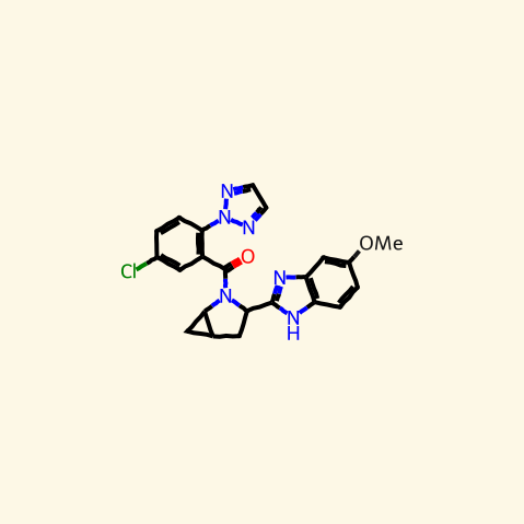 COc1ccc2[nH]c(C3CC4CC4N3C(=O)c3cc(Cl)ccc3-n3nccn3)nc2c1